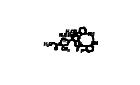 C=CC(=O)N1C[C@H](C)N(c2nc(=O)n3c4nc(c(F)cc24)-c2c(F)cccc2NCCNc2cccc(C(C)C)c2-3)C[C@H]1C